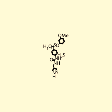 COc1cccc(OSN(C)c2ccc(NC(=O)NCc3cn[nH]c3)cc2)c1.S